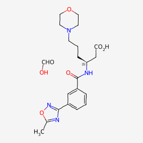 Cc1nc(-c2cccc(C(=O)N[C@@H](CCCN3CCOCC3)CC(=O)O)c2)no1.O=CO